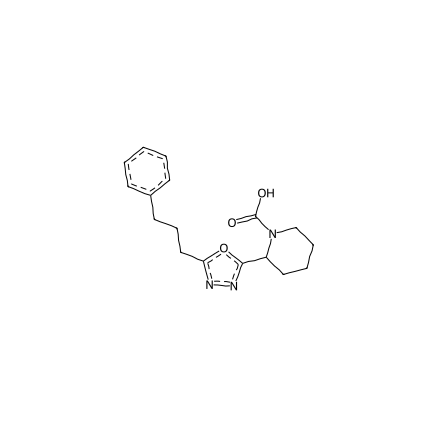 O=C(O)N1CCCCC1c1nnc(CCCc2ccccc2)o1